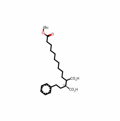 CC(C)(C)OC(=O)CCCCCCCCCC(C(=O)O)[C@H](CCc1ccccc1)C(=O)O